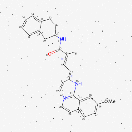 C=C/C(=C\C=C(/C)C(=O)NC1CCc2ccccc2C1)Nc1nccc2ccc(OC)cc12